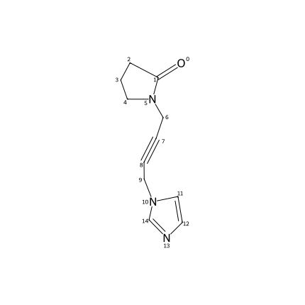 O=C1CCCN1CC#CCn1ccnc1